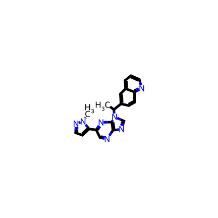 CC(c1ccc2ncccc2c1)n1cnc2ncc(-c3ccnn3C)nc21